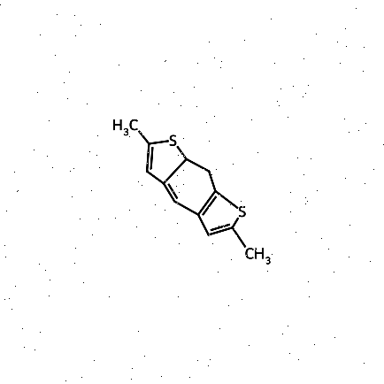 CC1=CC2=Cc3cc(C)sc3CC2S1